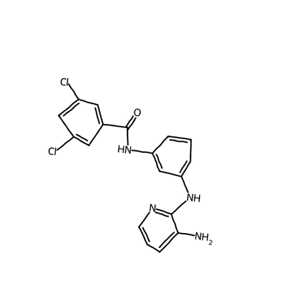 Nc1cccnc1Nc1cccc(NC(=O)c2cc(Cl)cc(Cl)c2)c1